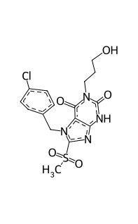 CS(=O)(=O)c1nc2[nH]c(=O)n(CCCO)c(=O)c2n1Cc1ccc(Cl)cc1